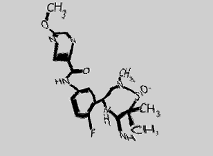 COc1cnc(C(=O)Nc2ccc(F)c(C3CN(C)[S+]([O-])C(C)(C)C(=N)N3)c2)cn1